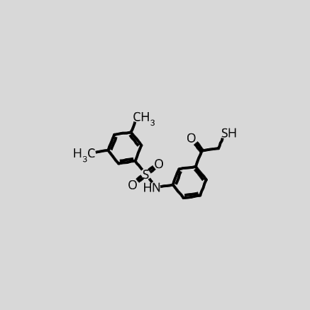 Cc1cc(C)cc(S(=O)(=O)Nc2cccc(C(=O)CS)c2)c1